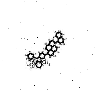 CC1(C)CCCC2(C)c3cc(-c4ccc5ccc6c(-c7cccc8ccccc78)ccc7ccc4c5c76)ccc3N(c3ccccc3)C12C